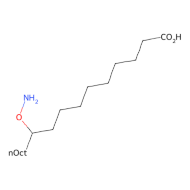 CCCCCCCCC(CCCCCCCCC(=O)O)ON